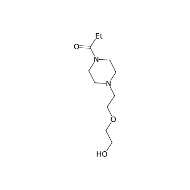 CCC(=O)N1CCN(CCOCCO)CC1